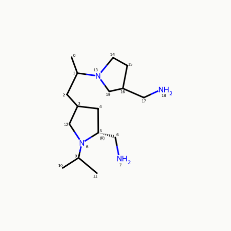 CC(CC1C[C@H](CN)N(C(C)C)C1)N1CCC(CN)C1